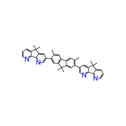 Cc1cc2c(cc1-c1cnc3c(c1)C(C)(C)c1cccnc1-3)C(C)(C)c1cc(-c3cnc4c(c3)C(C)(C)c3cccnc3-4)c(C)cc1-2